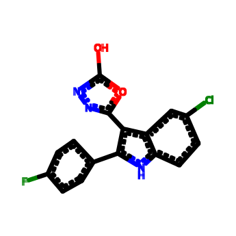 Oc1nnc(-c2c(-c3ccc(F)cc3)[nH]c3ccc(Cl)cc23)o1